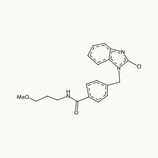 COCCCNC(=O)c1ccc(Cn2c(Cl)nc3ccccc32)cc1